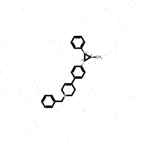 C[C@@H]1[C@H](c2ccccc2)[C@H]1c1ccc(C2=CCN(Cc3ccccc3)CC2)cc1